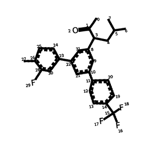 CC(=O)C(CC(C)C)c1cc(-c2ccc(C(F)(F)F)cc2)cc(-c2ccc(C)c(F)c2)c1